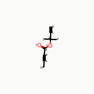 C#CC(C)(C)OC(=O)C#CC